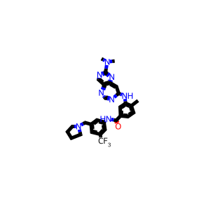 Cc1ccc(C(=O)Nc2cc(CN3CCCC3)cc(C(F)(F)F)c2)cc1NC1C=c2nc(N(C)C)ncc2=NC=N1